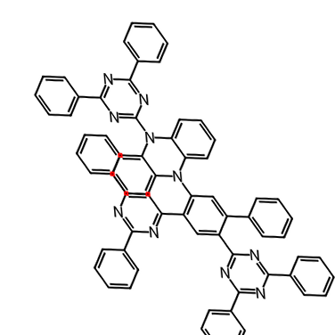 c1ccc(-c2cc(-c3cc(-c4nc(-c5ccccc5)nc(-c5ccccc5)n4)c(-c4ccccc4)cc3N3c4ccccc4N(c4nc(-c5ccccc5)nc(-c5ccccc5)n4)c4ccccc43)nc(-c3ccccc3)n2)cc1